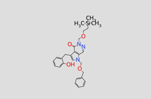 C[Si](C)(C)CCOCn1ncc2c(c(Cc3ccccc3O)cn2COCc2ccccc2)c1=O